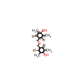 Cc1c(O)c(C)c(Br)c(COCc2c(Br)c(C)c(O)c(C)c2Br)c1Br